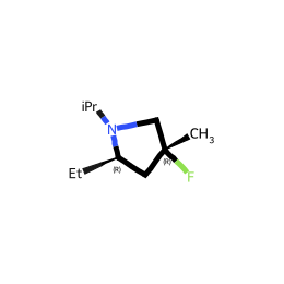 CC[C@@H]1C[C@@](C)(F)CN1C(C)C